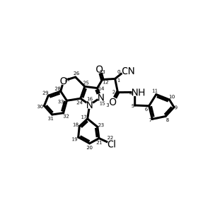 N#CC(C(=O)NCc1ccccc1)C(=O)c1nn(-c2cccc(Cl)c2)c2c1COc1ccccc1-2